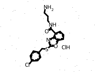 Cl.NCCCNC(=O)c1cccc2oc(SCc3ccc(Cl)cc3)nc12